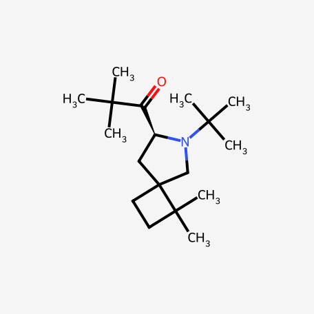 CC(C)(C)C(=O)[C@@H]1CC2(CCC2(C)C)CN1C(C)(C)C